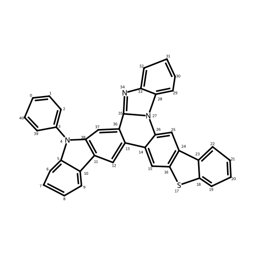 c1ccc(-n2c3ccccc3c3cc4c5cc6sc7ccccc7c6cc5n5c6ccccc6nc5c4cc32)cc1